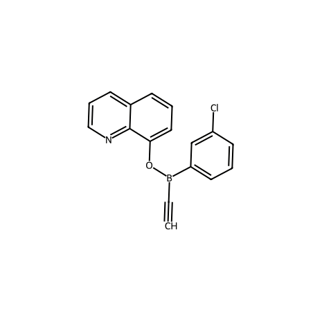 C#CB(Oc1cccc2cccnc12)c1cccc(Cl)c1